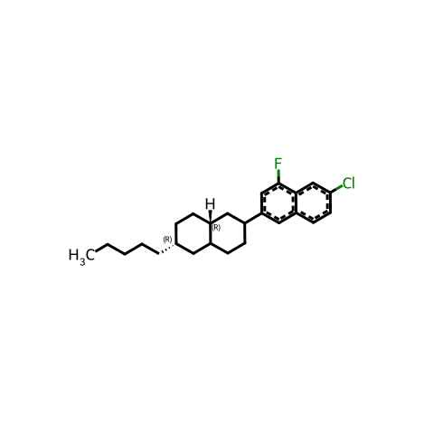 CCCCC[C@@H]1CC[C@@H]2CC(c3cc(F)c4cc(Cl)ccc4c3)CCC2C1